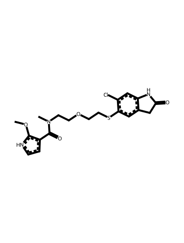 COc1[nH]ccc1C(=O)N(C)CCOCCSc1cc2c(cc1Cl)NC(=O)C2